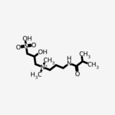 CC(C)C(=O)NCCC[N+](C)(C)CC(O)CS(=O)(=O)O